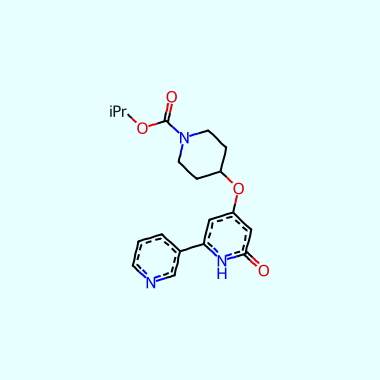 CC(C)OC(=O)N1CCC(Oc2cc(-c3cccnc3)[nH]c(=O)c2)CC1